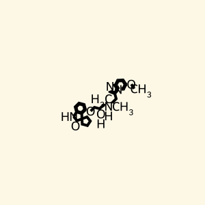 COc1ccc2ncc(CC(C)(C)NC[C@H](O)COc3cccc4c3C3(CCCC3)C(=O)N4)n2c1